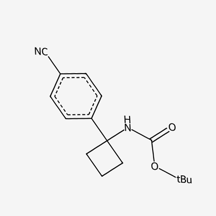 CC(C)(C)OC(=O)NC1(c2ccc(C#N)cc2)CCC1